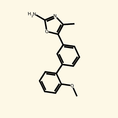 COc1ccccc1-c1cccc(-c2oc(N)nc2C)c1